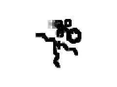 CCCCN(CCCC)CCCC.O=S(=O)(O)c1ccccc1